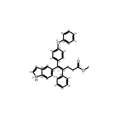 COC(=O)CC/C(=C(\c1ccc(Oc2ccccc2)cc1)c1ccc2[nH]ccc2c1)c1ccccc1